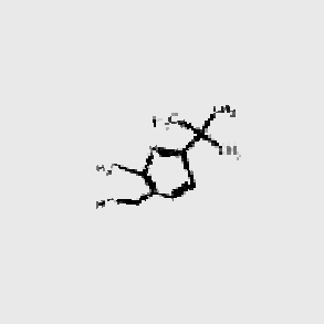 Cc1nc(C(C)(C)C)ccc1CO